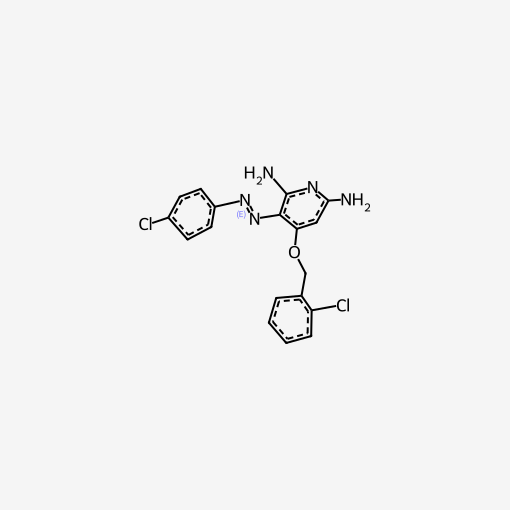 Nc1cc(OCc2ccccc2Cl)c(/N=N/c2ccc(Cl)cc2)c(N)n1